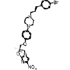 C[C@]1(COc2ccc(N3CCN(CC=Cc4ccc(Br)cc4)CC3)cc2)Cn2cc([N+](=O)[O-])nc2O1